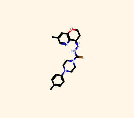 Cc1ccc(N2CCN(C(=S)N/N=C3/CCOc4cc(C)cnc43)CC2)cc1